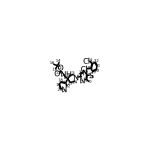 Cc1nc(N2CCC(CNC(=O)OC(C)(C)C)(c3cccnc3)CC2)cnc1Sc1cccc(Cl)c1Cl